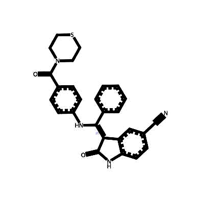 N#Cc1ccc2c(c1)/C(=C(/Nc1ccc(C(=O)N3CCSCC3)cc1)c1ccccc1)C(=O)N2